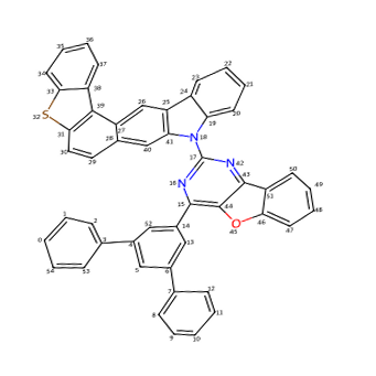 c1ccc(-c2cc(-c3ccccc3)cc(-c3nc(-n4c5ccccc5c5cc6c(ccc7sc8ccccc8c76)cc54)nc4c3oc3ccccc34)c2)cc1